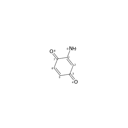 [NH]C1=CC(=O)C=CC1=O